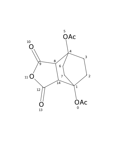 CC(=O)OC12CCC(OC(C)=O)(CC1)C1C(=O)OC(=O)C12